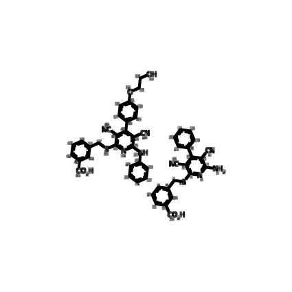 N#Cc1c(N)nc(SCc2cccc(C(=O)O)c2)c(C#N)c1-c1ccccc1.N#Cc1c(Nc2ccccc2)nc(SCc2cccc(C(=O)O)c2)c(C#N)c1-c1ccc(OCCO)cc1